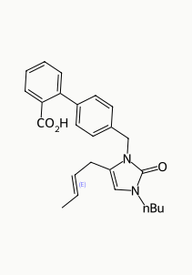 C/C=C/Cc1cn(CCCC)c(=O)n1Cc1ccc(-c2ccccc2C(=O)O)cc1